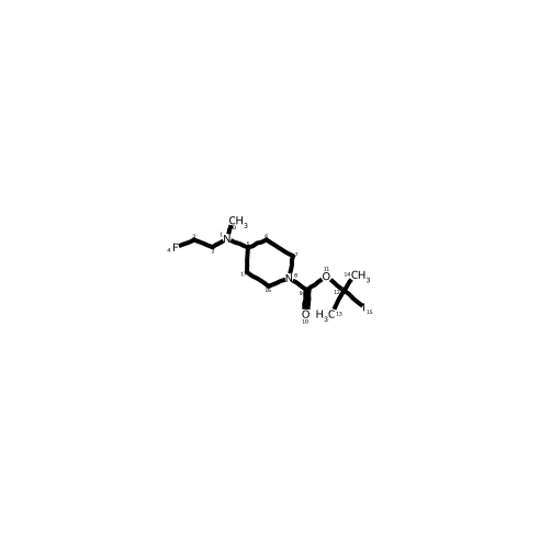 CN(CCF)C1CCN(C(=O)OC(C)(C)I)CC1